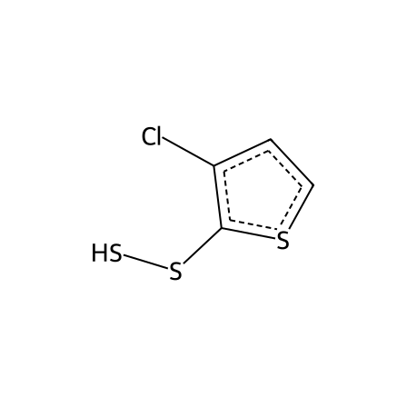 SSc1sccc1Cl